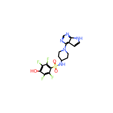 O=S(=O)(NC1CCN(c2ncnc3[nH]ccc23)CC1)c1c(F)c(F)c(O)c(F)c1F